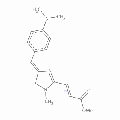 COC(=O)/C=C/C1=NC(=C\c2ccc(N(C)C)cc2)/CN1C